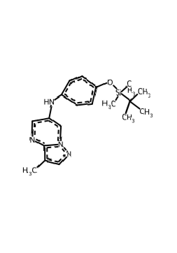 Cc1cnn2cc(Nc3ccc(O[Si](C)(C)C(C)(C)C)cc3)cnc12